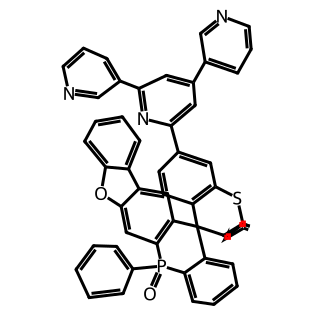 O=P1(c2ccccc2)c2ccccc2C2(c3ccccc3Sc3cc(-c4cc(-c5cccnc5)cc(-c5cccnc5)n4)ccc32)c2cc3c(cc21)oc1ccccc13